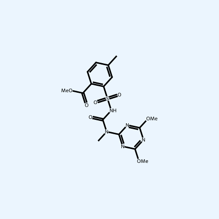 COC(=O)c1ccc(C)cc1S(=O)(=O)NC(=O)N(C)c1nc(OC)nc(OC)n1